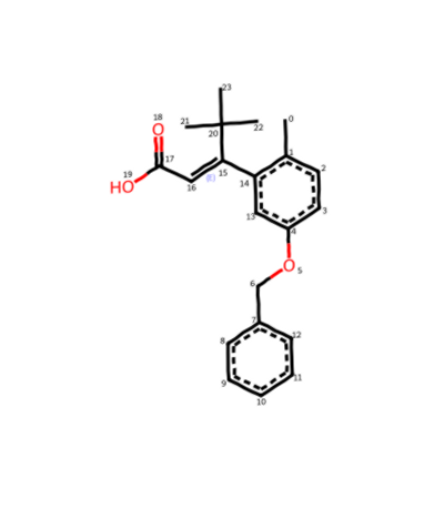 Cc1ccc(OCc2ccccc2)cc1/C(=C/C(=O)O)C(C)(C)C